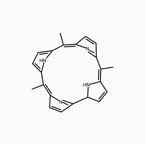 C/C1=C2\C=CC(N2)C2=N/C(=C(/C)c3ccc([nH]3)/C(C)=C3/C=CC1=N3)C=C2